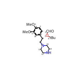 CC(C)(C)OC=O.COc1ccc(CCN2CCNCC2)cc1OC